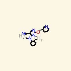 C=CN(c1ccccc1C)c1nc(OCc2cccnc2)ncc1C#N